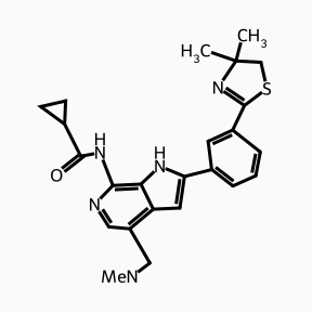 CNCc1cnc(NC(=O)C2CC2)c2[nH]c(-c3cccc(C4=NC(C)(C)CS4)c3)cc12